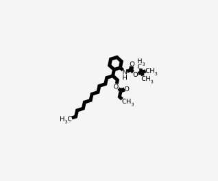 CCCCCCCCCCCC(COC(=O)CC)C1CCCCC1NC(=O)OC(C)(C)C